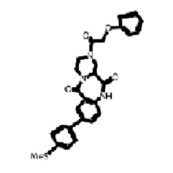 CSc1ccc(-c2ccc3c(c2)C(=O)N2CCN(C(=O)COc4ccccc4)CC2C(=O)N3)cc1